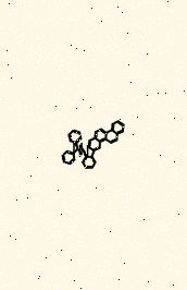 c1ccc(N(c2ccccc2)n2c3ccccc3c3cc4c(ccc5c6ccccc6ccc45)cc32)cc1